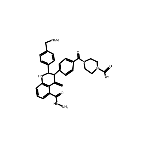 C=C1c2c(cccc2C(=O)NN)NC(c2ccc(CNC)cc2)C1c1ccc(C(=O)N2CCN(C(=O)C(C)C)CC2)cc1